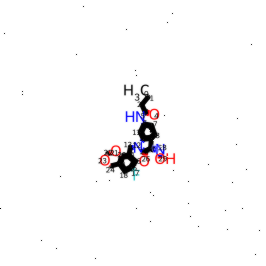 CCCC(=O)Nc1ccc2c(c1)N(Cc1cc(F)cc3c1OCOC3)C(=O)/C2=N\O